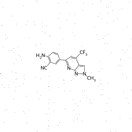 Cn1cc2c(C(F)(F)F)cc(-c3ccc(N)c(C#N)c3)nc2n1